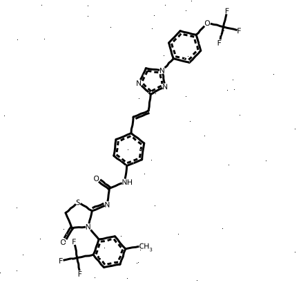 Cc1ccc(C(F)(F)F)c(N2C(=O)CSC2=NC(=O)Nc2ccc(C=Cc3ncn(-c4ccc(OC(F)(F)F)cc4)n3)cc2)c1